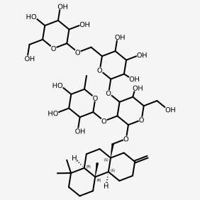 C=C1CC[C@@H]2[C@](COC3OC(CO)C(O)C(OC4OC(COC5OC(CO)C(O)C(O)C5O)C(O)C(O)C4O)C3OC3OC(C)C(O)C(O)C3O)(CC[C@@H]3C(C)(C)CCC[C@]32C)C1